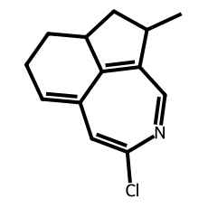 CC1CC2CCC=C3C=C(Cl)N=CC1=C32